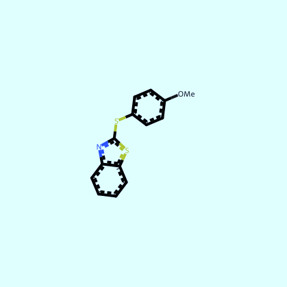 COc1ccc(Sc2nc3ccccc3s2)cc1